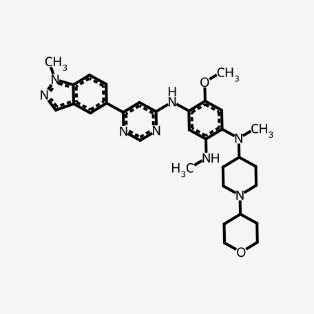 CNc1cc(Nc2cc(-c3ccc4c(cnn4C)c3)ncn2)c(OC)cc1N(C)C1CCN(C2CCOCC2)CC1